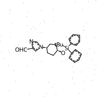 CC(C)(C)[Si](O[C@H]1CC[C@@H](n2cnc(C=O)c2)CC1)(c1ccccc1)c1ccccc1